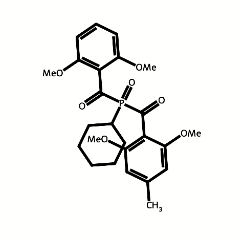 COc1cccc(OC)c1C(=O)P(=O)(C(=O)c1c(OC)cc(C)cc1OC)C1CCCCC1